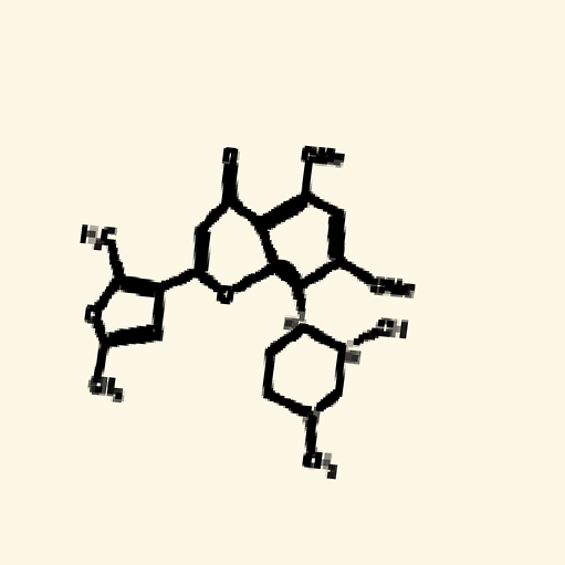 COc1cc(OC)c2c(=O)cc(-c3cc(C)oc3C)oc2c1[C@H]1CCN(C)C[C@H]1O